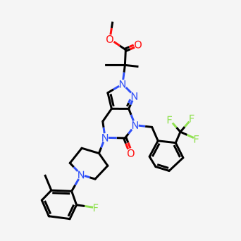 COC(=O)C(C)(C)n1cc2c(n1)N(Cc1ccccc1C(F)(F)F)C(=O)N(C1CCN(c3c(C)cccc3F)CC1)C2